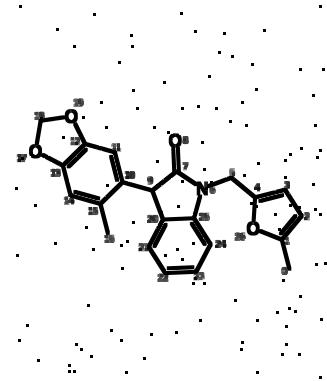 Cc1ccc(CN2C(=O)C(c3cc4c(cc3C)OCO4)c3ccccc32)o1